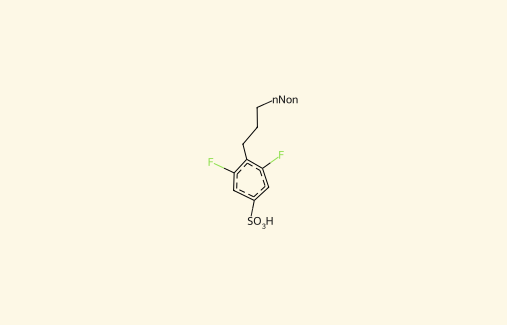 CCCCCCCCCCCCc1c(F)cc(S(=O)(=O)O)cc1F